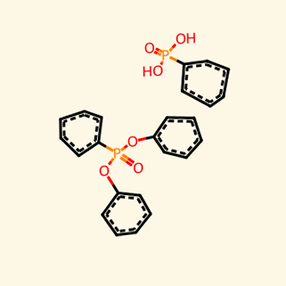 O=P(O)(O)c1ccccc1.O=P(Oc1ccccc1)(Oc1ccccc1)c1ccccc1